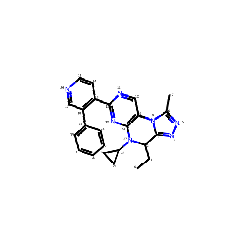 CCC1c2nnc(C)n2-c2cnc(-c3ccncc3-c3ccccc3)nc2N1C1CC1